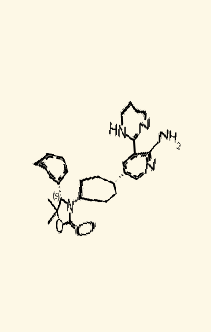 CC1(C)OC(=O)N([C@H]2CC[C@@H](c3cnc(N)c(C4=NCCCN4)c3)CC2)[C@H]1c1ccccc1